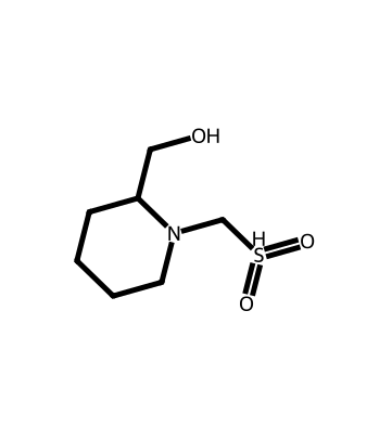 O=[SH](=O)CN1CCCCC1CO